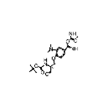 CN(C)c1cc(C(=N)OC(N)=O)ccc1OC[C@@H](C=O)NC(=O)OC(C)(C)C